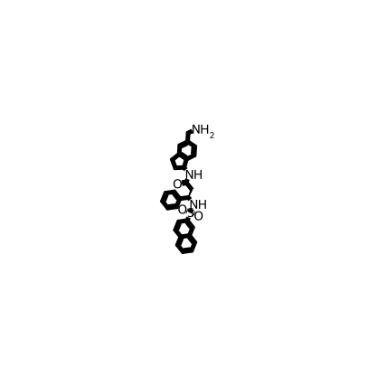 NCc1ccc2c(c1)CCC2NC(=O)C[C@@H](NS(=O)(=O)c1ccc2ccccc2c1)c1ccccc1